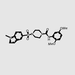 COc1ccc(OC)c(NC(=O)N2CCN(S(=O)(=O)c3ccc4c(ccn4C)c3)CC2)c1